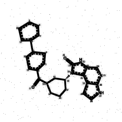 O=C(c1ccc(-c2ccccc2)cc1)N1CCC[C@@H](n2c(=O)[nH]c3cnc4[nH]ccc4c32)C1